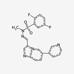 CN(N=Cc1cnc2ccc(-c3cccnc3)cn12)S(=O)(=O)c1cc(F)ccc1F